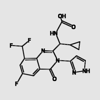 O=C(O)NC(c1nc2c(C(F)F)cc(F)cc2c(=O)n1-c1cc[nH]n1)C1CC1